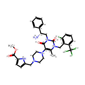 COC(=O)c1ccc(CN2CCN(c3c(C)n(Cc4c(F)cccc4C(F)(F)F)c(=O)n(C[C@H](N)c4ccccc4)c3=O)CC2)[nH]1